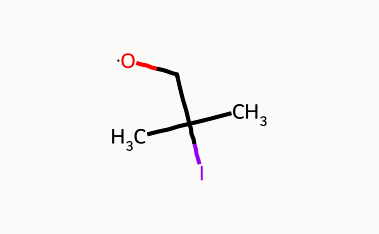 CC(C)(I)C[O]